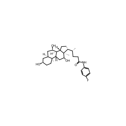 C[C@H](CCC(=O)Nc1ccc(F)cc1)[C@H]1CC[C@H]2[C@@H]3[C@H](O)C[C@@H]4C[C@H](O)CC[C@]4(C)[C@H]3C[C@H](O)[C@]12C